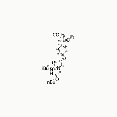 CCCCOCCN(CCOc1ccc(CC(OCC)C(=O)O)cc1)C(=O)NC(C)CC